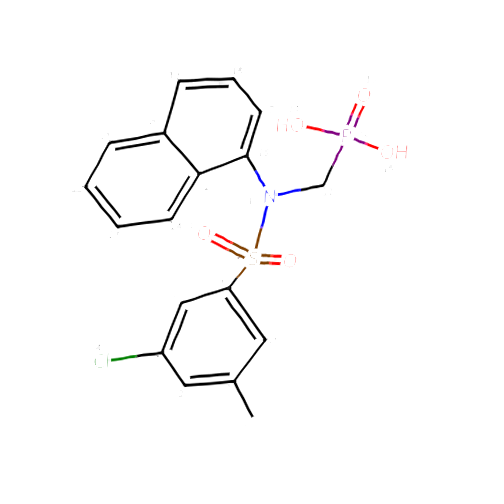 Cc1cc(Cl)cc(S(=O)(=O)N(CP(=O)(O)O)c2cccc3ccccc23)c1